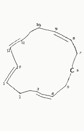 [C]1=C/C/C=C/CCC/C=C\C/C=C/1